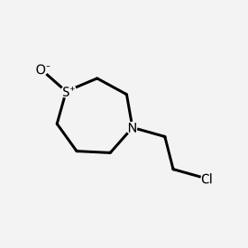 [O-][S+]1CCCN(CCCl)CC1